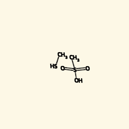 CS.CS(=O)(=O)O